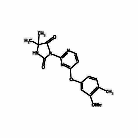 COc1cc(Oc2ccnc(N3C(=O)NC(C)(C)C3=O)n2)ccc1C